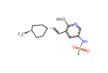 COc1ncc(NS(C)(=O)=O)cc1/C=C/[C@H]1CC[C@H](C(F)(F)F)CC1